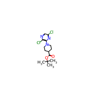 CC(C)(C)OC(=O)C1CCN(c2nc(Cl)cnc2Cl)CC1